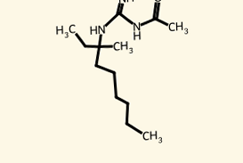 CCCCCCC(C)(CC)NC(=N)NC(C)=O